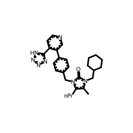 CCCc1c(C)n(CC2CCCCC2)c(=O)n1Cc1ccc(-c2cnccc2-c2nnn[nH]2)cc1